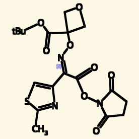 Cc1nc(/C(=N/OC2(C(=O)OC(C)(C)C)COC2)C(=O)ON2C(=O)CCC2=O)cs1